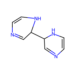 C1=CNC(C2C=NC=CN2)C=N1